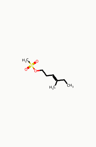 CC/C(C)=C/CCOS(C)(=O)=O